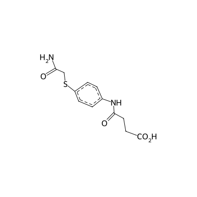 NC(=O)CSc1ccc(NC(=O)CCC(=O)O)cc1